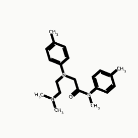 Cc1ccc(N(CCN(C)C)CC(=O)N(C)c2ccc(C)cc2)cc1